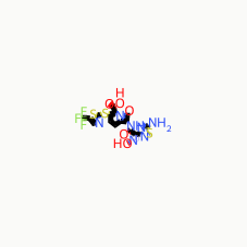 Nc1nc(/C(=N/O)C(=O)NC2C(=O)N3C(C(=O)O)=C(Sc4ncc(C(F)(F)F)s4)CCC23)ns1